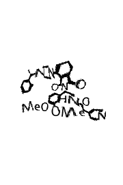 COc1ccc(C(CNC(=O)Cc2ccncc2)N2C(=O)c3cccc(N4CCN([C@H](C)c5ccccc5)CC4)c3C2=O)cc1OC